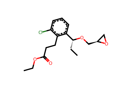 CCOC(=O)CCc1c(Cl)cccc1[C@@H](CC)OC[C@H]1CO1